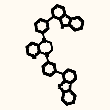 c1cc(-c2cccc3c2sc2ccccc23)cc(N2CCN(c3cccc(-c4cccc5c4sc4ccccc45)c3)c3ncccc32)c1